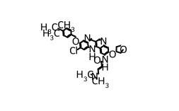 CN(C)CC=CC(=O)Nc1cc2c(Nc3ccc(OCc4ccc(C(C)(C)C)cc4)c(Cl)c3)c(C#N)cnc2cc1OC1CCOC1